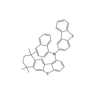 CC1(C)CCC(C)(C)c2cc3c(cc21)sc1cccc(N(c2ccc4sc5ccccc5c4c2)c2cccc4ccccc24)c13